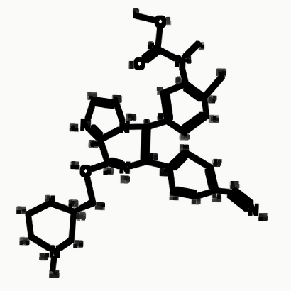 COC(=O)N(C)c1cc(-c2c(-c3ccc(C#N)cc3)nc(OC[C@@H]3CCCN(C)C3)c3nccn23)ccc1C